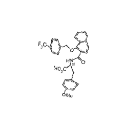 COc1ccc(C[C@H](NC(=O)c2ccc3ccccc3c2OCc2ccc(C(F)(F)F)cc2)C(=O)O)cc1